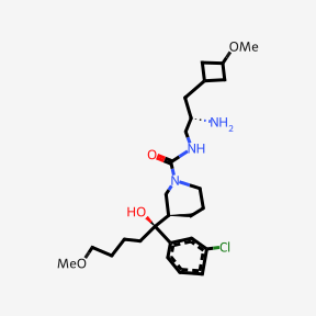 COCCCC[C@@](O)(c1cccc(Cl)c1)[C@@H]1CCCN(C(=O)NC[C@@H](N)CC2CC(OC)C2)C1